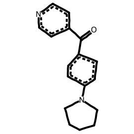 O=C(c1ccncc1)c1ccc(N2CCCCC2)cc1